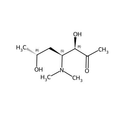 CC(=O)[C@H](O)[C@H](C[C@@H](C)O)N(C)C